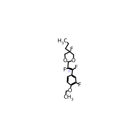 CCCC1(F)COC(/C(F)=C(\F)c2ccc(OCC)c(F)c2)OC1